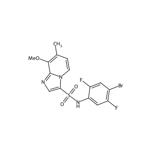 COc1c(C)ccn2c(S(=O)(=O)Nc3cc(F)c(Br)cc3F)cnc12